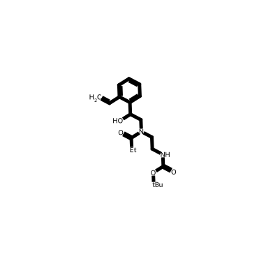 C=Cc1ccccc1C(O)CN(CCNC(=O)OC(C)(C)C)C(=O)CC